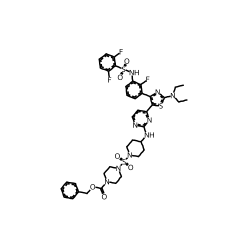 CCN(CC)c1nc(-c2cccc(NS(=O)(=O)c3c(F)cccc3F)c2F)c(-c2ccnc(NC3CCN(S(=O)(=O)N4CCN(C(=O)OCc5ccccc5)CC4)CC3)n2)s1